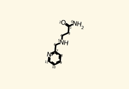 NC(=O)CCNCc1ccccn1